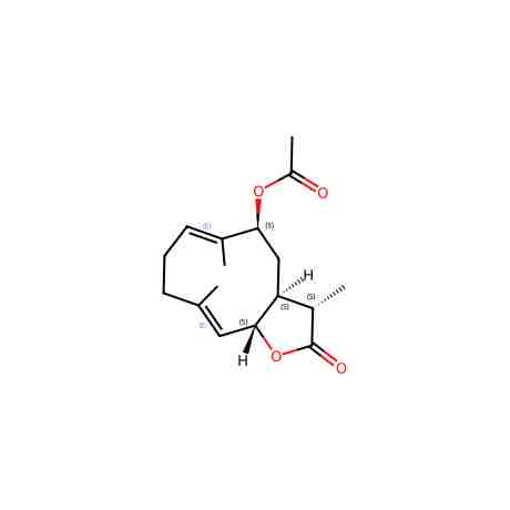 CC(=O)O[C@H]1C[C@H]2[C@H](C)C(=O)O[C@@H]2/C=C(\C)CC/C=C/1C